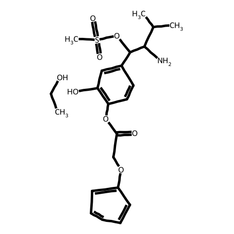 CC(C)C(N)C(OS(C)(=O)=O)c1ccc(OC(=O)COc2ccccc2)c(O)c1.CCO